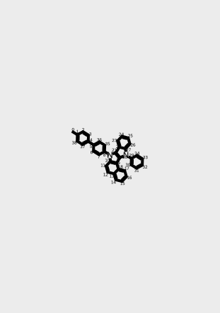 Cc1ccc(-c2ccc(-n3c4ccc5ccccc5c4c4c3c3ccccc3n4-c3ccccc3)cc2)cc1